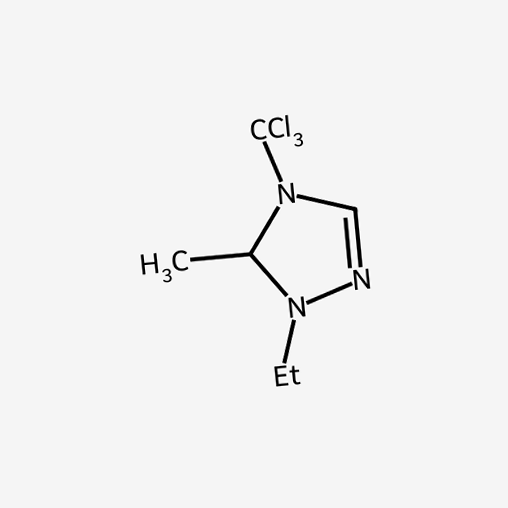 CCN1N=CN(C(Cl)(Cl)Cl)C1C